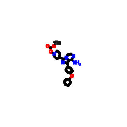 CC(C)(C)OC(=O)ON1CC=C(c2nc(-c3ccc(Oc4ccccc4)cc3)c3c(N)nccn23)CC1